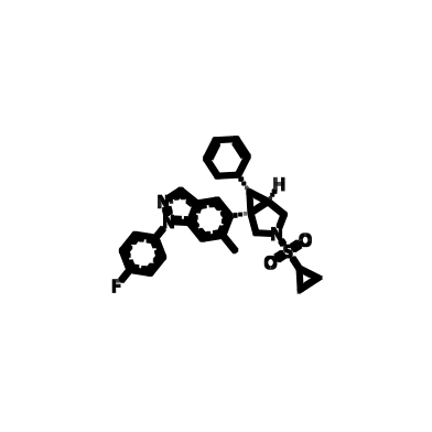 Cc1cc2c(cnn2-c2ccc(F)cc2)cc1[C@@]12CN(S(=O)(=O)C3CC3)C[C@@H]1[C@H]2C1C=CC=CC1